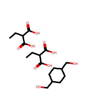 CCC(C(=O)O)C(=O)O.CCC(C(=O)O)C(=O)O.OCC1CCC(CO)CC1